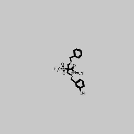 CS(=O)(=O)C(CSCc1ccccc1)(CSCc1cccc(C#N)c1)C(=O)NC#N